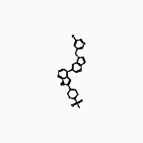 CS(=O)(=O)N1CCC(c2cc3c(-c4cnc5ccn(Cc6cncc(F)c6)c5c4)ccnc3[nH]2)CC1